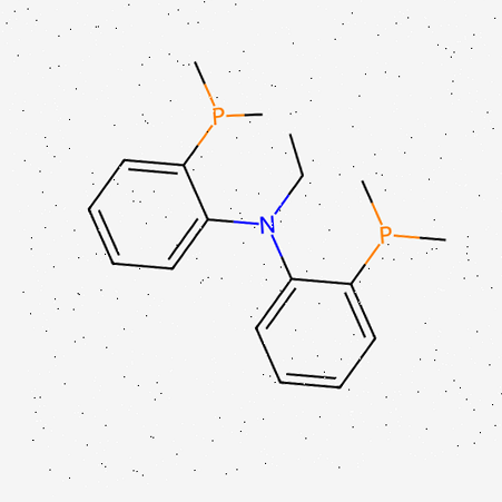 CCN(c1ccccc1P(C)C)c1ccccc1P(C)C